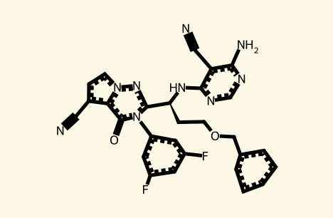 N#Cc1c(N)ncnc1N[C@@H](CCOCc1ccccc1)c1nn2ccc(C#N)c2c(=O)n1-c1cc(F)cc(F)c1